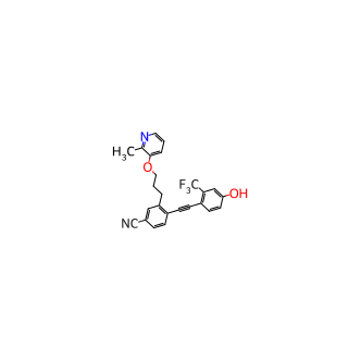 Cc1ncccc1OCCCc1cc(C#N)ccc1C#Cc1ccc(O)cc1C(F)(F)F